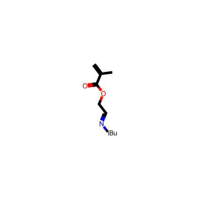 C=C(C)C(=O)OCC=NC(C)CC